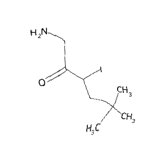 CC(C)(C)CC(I)C(=O)CN